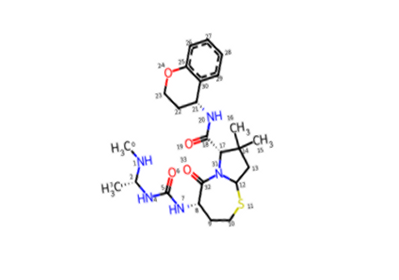 CN[C@@H](C)NC(=O)N[C@H]1CCSC2CC(C)(C)[C@@H](C(=O)N[C@@H]3CCOc4ccccc43)N2C1=O